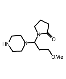 COCCC(N1CCNCC1)N1CCCC1=O